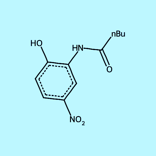 CCCCC(=O)Nc1cc([N+](=O)[O-])ccc1O